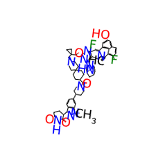 C#Cc1c(F)ccc2cc(O)cc(-c3ncc4c(N5CC6CCC(C5)N6)nc(OCC5(CN6CCC7(CCC(C(=O)N8CCC(c9ccc%10c(C%11CCC(=O)NC%11=O)nn(C)c%10c9)CC8)CC7)CC6)CC5)nc4c3F)c12